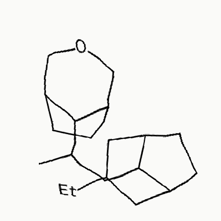 CCC1CC2CCC(C1)C2CC(C)C1C2CCC1COC2